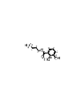 CCCCOC(=O)c1cccc(O)c1O